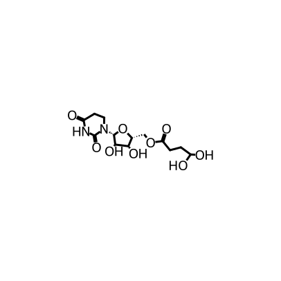 O=C1CCN([C@@H]2O[C@H](COC(=O)CCC(O)O)[C@@H](O)[C@H]2O)C(=O)N1